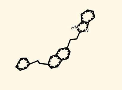 c1ccc(CCc2ccc3ccc(CCc4nc5ccccc5[nH]4)cc3c2)cc1